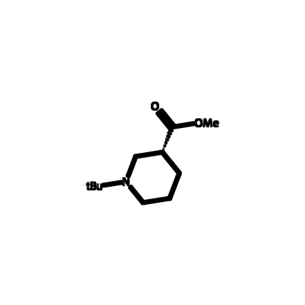 COC(=O)[C@@H]1CCCN(C(C)(C)C)C1